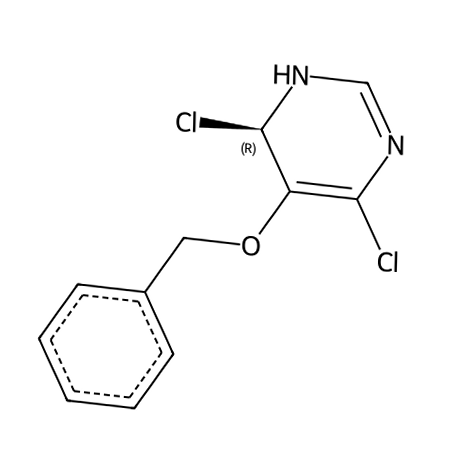 ClC1=C(OCc2ccccc2)[C@@H](Cl)NC=N1